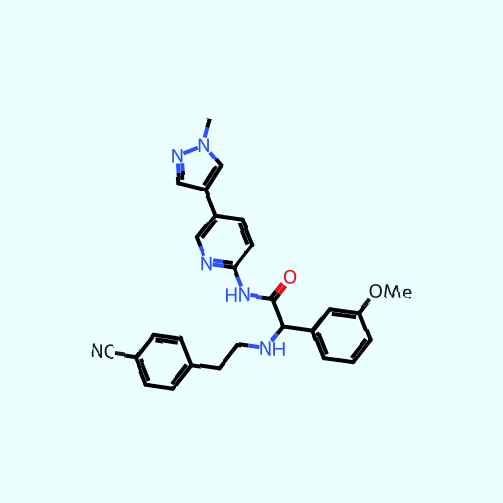 COc1cccc(C(NCCc2ccc(C#N)cc2)C(=O)Nc2ccc(-c3cnn(C)c3)cn2)c1